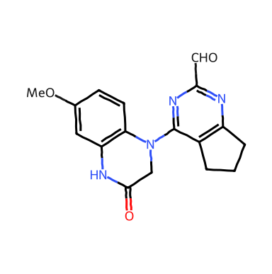 COc1ccc2c(c1)NC(=O)CN2c1nc(C=O)nc2c1CCC2